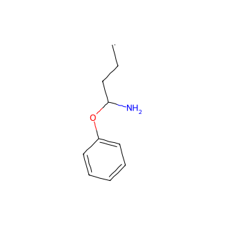 [CH2]CCC(N)Oc1ccccc1